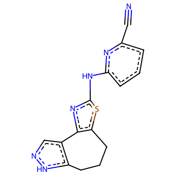 N#Cc1cccc(Nc2nc3c(s2)CCCc2[nH]ncc2-3)n1